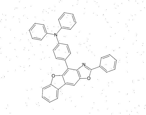 c1ccc(-c2nc3c(-c4ccc(N(c5ccccc5)c5ccccc5)cc4)c4oc5ccccc5c4cc3o2)cc1